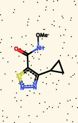 CONC(=O)c1snnc1C1CC1